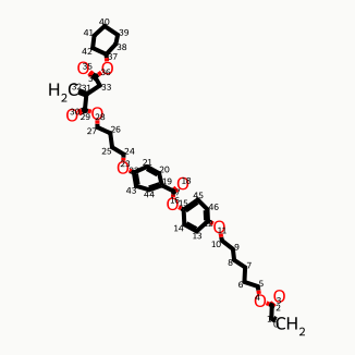 C=CC(=O)OCCCCCCOc1ccc(OC(=O)c2ccc(OCCCCOC(=O)C(=C)CC(=O)OC3CCCCC3)cc2)cc1